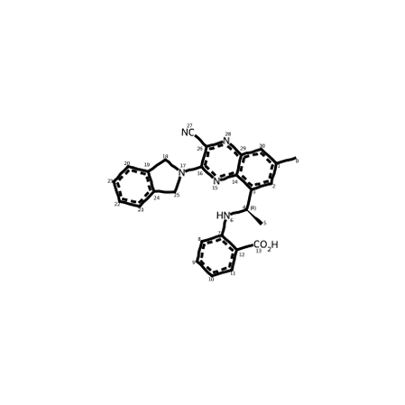 Cc1cc([C@@H](C)Nc2ccccc2C(=O)O)c2nc(N3Cc4ccccc4C3)c(C#N)nc2c1